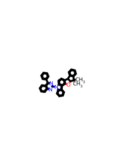 CC1(C)c2ccccc2C2c3ccc4c(c3OC21)c1ccccc1n4-c1nc(-c2ccccc2)c2ccccc2n1